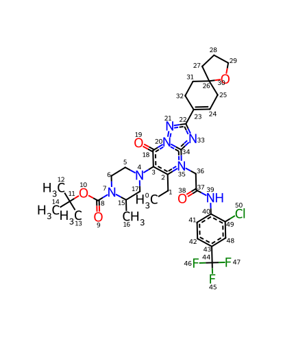 CCc1c(N2CCN(C(=O)OC(C)(C)C)C(C)C2)c(=O)n2nc(C3=CCC4(CCCO4)CC3)nc2n1CC(=O)Nc1ccc(C(F)(F)F)cc1Cl